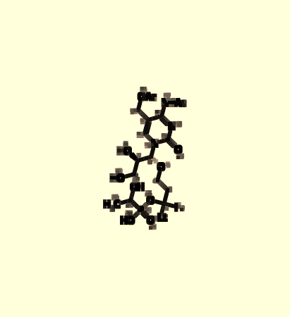 CCC(F)(CCO[C@H]([C@H](O)CO)n1cc(COC(C)=O)c(NC(C)=O)nc1=O)OP(=O)(O)C(C)O